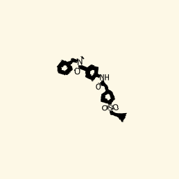 CN(Cc1ccccc1)C(=O)c1ccc(NC(=O)Cc2ccc(S(=O)(=O)CC3CC3)cc2)cc1